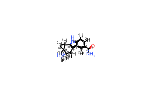 [2H]c1c(C(N)=O)c([2H])c2c3c([nH]c2c1[2H])C([2H])([2H])C([2H])(C)[C@@]([2H])(NC(C)C)C3([2H])[2H]